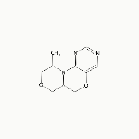 CC1COCC2COc3cncnc3N12